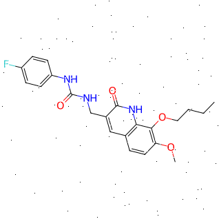 CCCCOc1c(OC)ccc2cc(CNC(=O)Nc3ccc(F)cc3)c(=O)[nH]c12